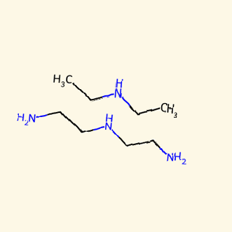 CCNCC.NCCNCCN